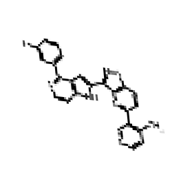 Cc1ccncc1-c1ccc2[nH]nc(-c3cc4c(-c5cccc(F)c5)nccc4[nH]3)c2n1